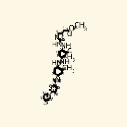 CCOC(=O)Cc1cnc(NNc2ccc(NNc3ccc(/N=N/c4ccc(N5CCCC5)s4)cc3C)cc2C)s1